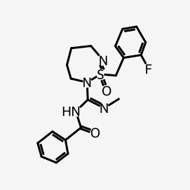 C/N=C(/NC(=O)c1ccccc1)N1CCCCN=S1(=O)Cc1ccccc1F